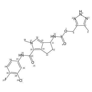 Cc1n[nH]nc1COC(=O)NC1CCc2c1cn(C)c2C(=O)Nc1ccc(F)c(Cl)c1